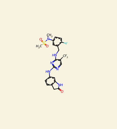 CN(c1ccc(F)c(CNc2nc(Nc3ccc4c(c3)NC(=O)C4)ncc2C(F)(F)F)c1)S(C)(=O)=O